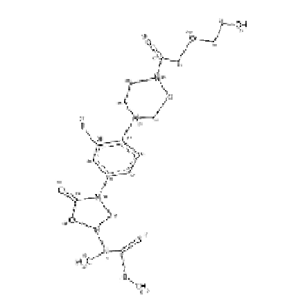 COC(=S)N(C)C1CN(c2ccc(N3CCN(C(=O)COCCO)CC3)c(F)c2)C(=O)O1